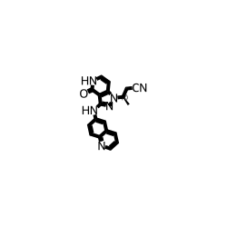 C[C@H](CC#N)n1nc(Nc2ccc3ncccc3c2)c2c(=O)[nH]ccc21